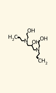 C=CCN(CCO)CC(O)CN(CC=C)CCO